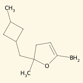 BC1=CCC(C)(CC2CC(C)C2)O1